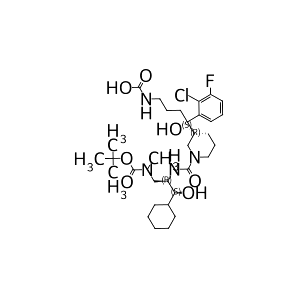 CN(C[C@@H](NC(=O)N1CCC[C@@H]([C@@](O)(CCCNC(=O)O)c2cccc(F)c2Cl)C1)[C@@H](O)C1CCCCC1)C(=O)OC(C)(C)C